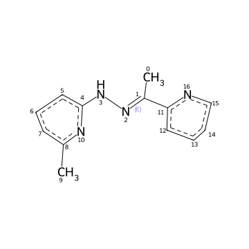 C/C(=N\Nc1cccc(C)n1)c1ccccn1